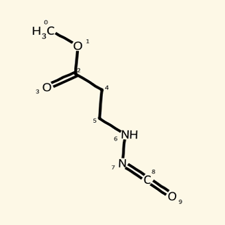 COC(=O)CCNN=C=O